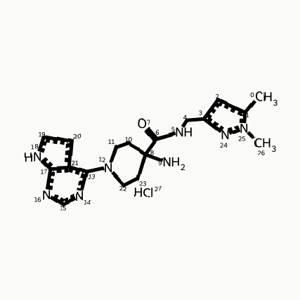 Cc1cc(CNC(=O)C2(N)CCN(c3ncnc4[nH]ccc34)CC2)nn1C.Cl